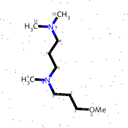 COCCCN(C)CCCN(C)C